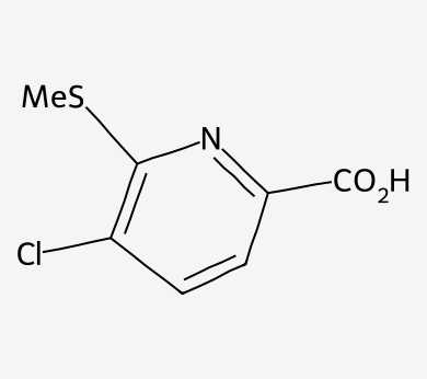 CSc1nc(C(=O)O)ccc1Cl